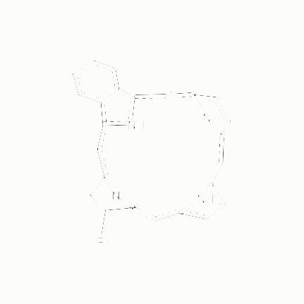 CCC1=Cc2cc3[nH]c(cc4nc(cc5ccc(cc1n2)[nH]5)C=C4)c1ccccc31